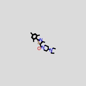 CCN(CC)C1CCN(C(=O)c2sc(-c3c(C)cc(C)cc3C)nc2C)CC1